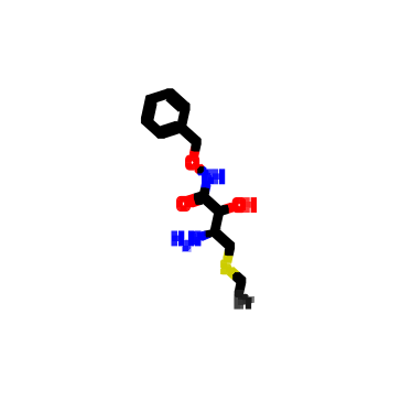 CC(C)CSC[C@@H](N)C(O)C(=O)NOCc1ccccc1